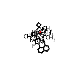 CC(C)[Si](C#Cc1cccc2cccc(-c3ncc4c(NCC5(N(C)C)CCC5)nc(Cl)nc4c3F)c12)(C(C)C)C(C)C